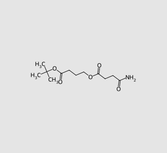 CC(C)(C)OC(=O)CCCOC(=O)CCC(N)=O